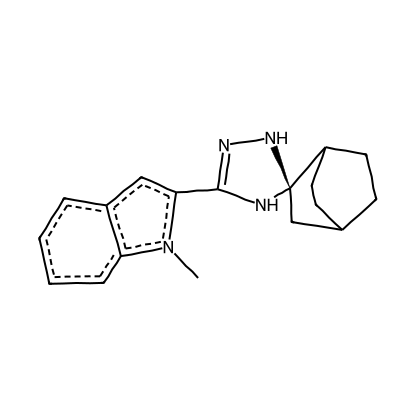 Cn1c(C2=NN[C@@]3(CC4CCC3CC4)N2)cc2ccccc21